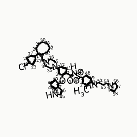 Cc1cc(S(=O)(=O)NC(=O)c2ccc(N3CCN(C/C4=C(\c5ccc(Cl)cc5)CCCCCC4)CC3)cc2Oc2cccc3[nH]ccc23)ccc1NCCCN1CCCC1